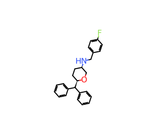 Fc1ccc(CN[C@@H]2CC[C@H](C(c3ccccc3)c3ccccc3)OC2)cc1